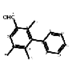 Cc1cc(C=O)c(C)c(-c2ccccc2)c1C